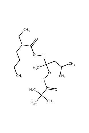 CCCCC(CC)C(=O)OOC(C)(CC(C)C)OOC(=O)C(C)(C)C